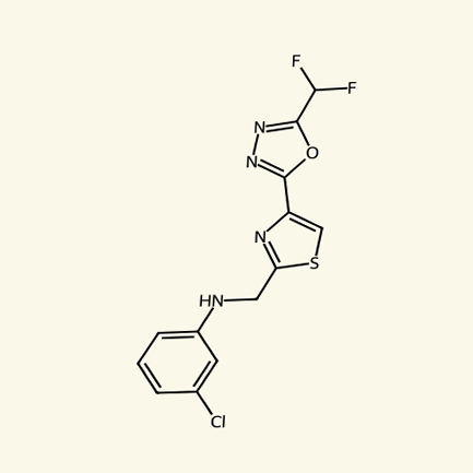 FC(F)c1nnc(-c2csc(CNc3cccc(Cl)c3)n2)o1